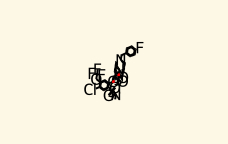 CN(C)S(=O)(=O)c1cc(Cl)c(OC(F)(F)F)cc1/C=C/C(=O)N1C2CN(Cc3ccc(F)cc3)CC1CN(S(C)(=O)=O)C2